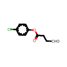 O=CCCC(=O)Oc1ccc(Cl)cc1